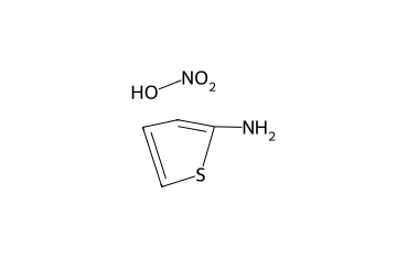 Nc1cccs1.O=[N+]([O-])O